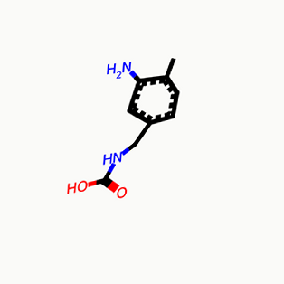 Cc1ccc(CNC(=O)O)cc1N